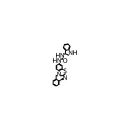 N#Cc1ccccc1CN1CCSc2cc(NC(=O)NC3CNc4ccccc43)ccc21